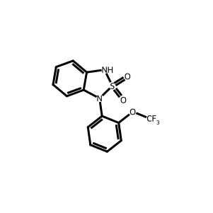 O=S1(=O)Nc2ccccc2N1c1ccccc1OC(F)(F)F